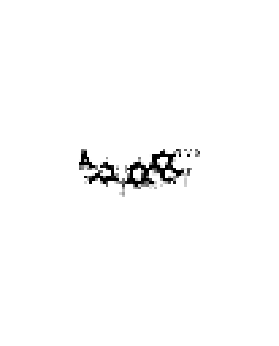 CNc1ccc(-c2cnc(Nc3ccn(C4CC4)c(=O)c3)cc2C)c2c1C(=O)NC2